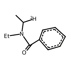 [2H]C(C)N(CC)C(=O)c1ccccc1